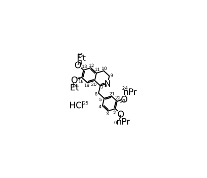 CCCOc1ccc(CC2=NCCc3cc(OCC)c(OCC)cc32)cc1OCCC.Cl